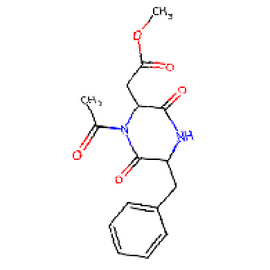 COC(=O)CC1C(=O)NC(Cc2ccccc2)C(=O)N1C(C)=O